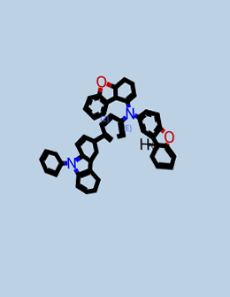 C=C(/C=C\C(=C/C)N(C1=CCCC2Oc3ccccc3C12)c1ccc2c(c1)[C@H]1CC=CC=C1O2)C1C=CC2C(C1)C1=C(C=CCC1)N2C1C=CC=CC1